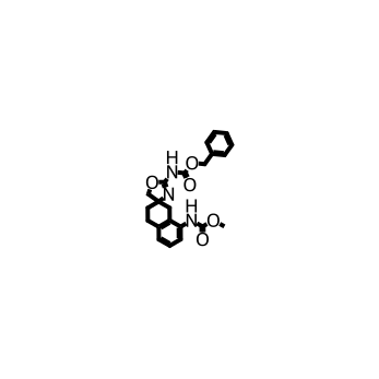 COC(=O)Nc1cccc2c1CC1(CC2)COC(NC(=O)OCc2ccccc2)=N1